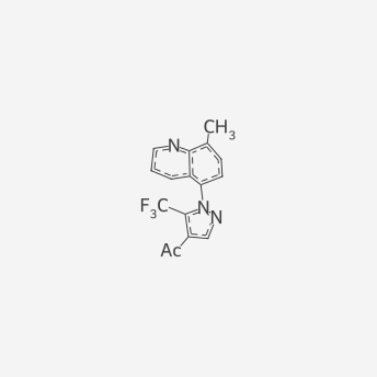 CC(=O)c1cnn(-c2ccc(C)c3ncccc23)c1C(F)(F)F